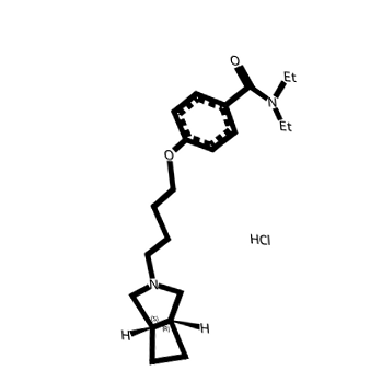 CCN(CC)C(=O)c1ccc(OCCCCN2C[C@H]3CC[C@H]3C2)cc1.Cl